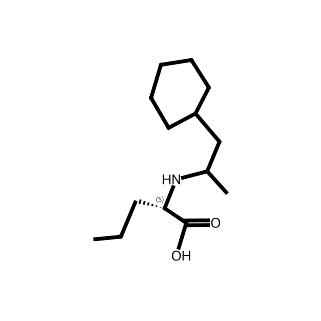 CCC[C@H](NC(C)CC1CCCCC1)C(=O)O